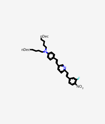 CCCCCCCCCCCCCCN(CCCCCCCCCCCCCC)c1ccc(C=Cc2ccc(C=Cc3ccc([N+](=O)[O-])c(F)c3)nc2)cc1